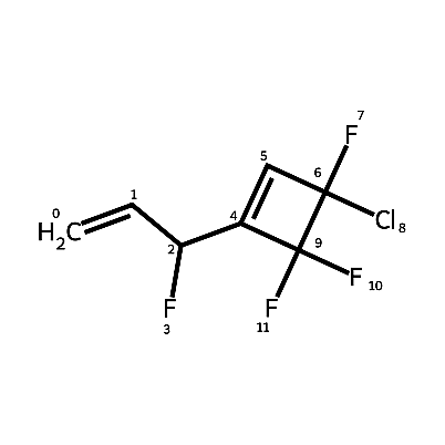 C=CC(F)C1=CC(F)(Cl)C1(F)F